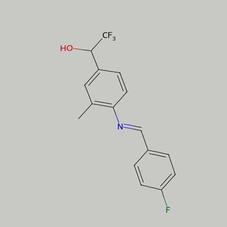 Cc1cc(C(O)C(F)(F)F)ccc1N=Cc1ccc(F)cc1